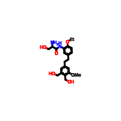 CCOc1ccc(CCc2cc(CO)c(CO)c(OC)c2)cc1NC(=O)C(N)CO